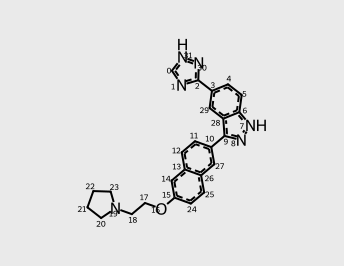 c1nc(-c2ccc3[nH]nc(-c4ccc5cc(OCCN6CCCC6)ccc5c4)c3c2)n[nH]1